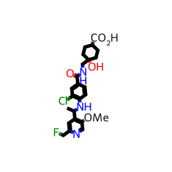 COc1cnc(CF)cc1C(C)Nc1ccc(C(=O)NCC2(O)CCC(C(=O)O)CC2)cc1Cl